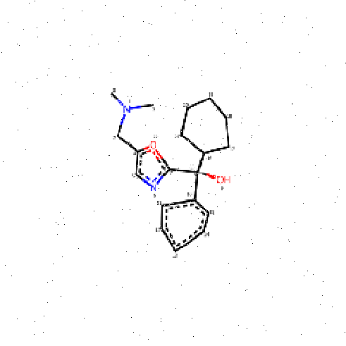 CN(C)Cc1cnc([C@@](O)(c2ccccc2)C2CCCCC2)o1